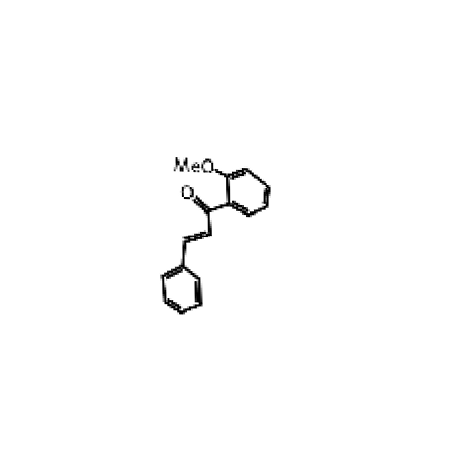 COc1ccccc1C(=O)C=Cc1ccccc1